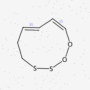 C1=C\OOSSCC/C=C/1